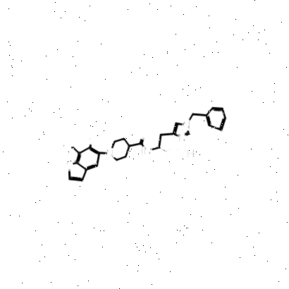 O=C(N[C@@H](Cc1cn(Cc2ccccc2)cn1)C(=O)O)C1CCN(c2cc3ccsc3c(Cl)c2Cl)CC1